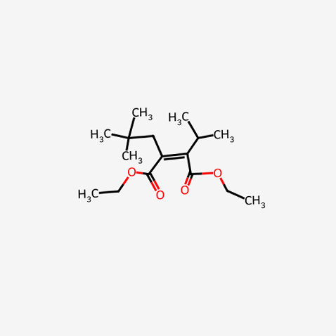 CCOC(=O)/C(CC(C)(C)C)=C(\C(=O)OCC)C(C)C